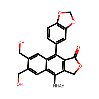 CC(=O)Nc1c2c(c(-c3ccc4c(c3)OCO4)c3cc(CO)c(CO)cc13)C(=O)OC2